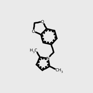 Cc1ccc(C)n1Cc1ccc2c(c1)OCO2